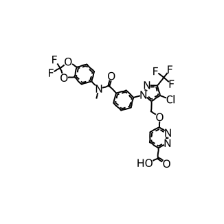 CN(C(=O)c1cccc(-n2nc(C(F)(F)F)c(Cl)c2COc2ccc(C(=O)O)nn2)c1)c1ccc2c(c1)OC(F)(F)O2